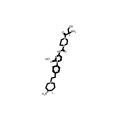 C[C@H]1CCN(CCc2ccc(-n3ccc(NC(=O)N4CCN(C(=O)[C@](C)(N)CO)CC4)nc3=O)cc2)CC[C@@H]1N.Cl